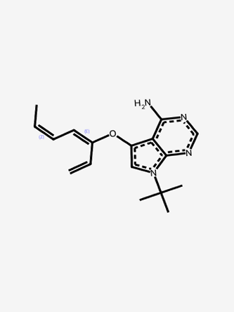 C=C/C(=C\C=C/C)Oc1cn(C(C)(C)C)c2ncnc(N)c12